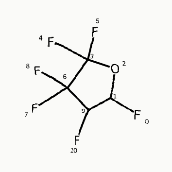 FC1OC(F)(F)C(F)(F)C1F